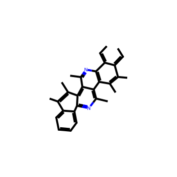 C/C=c1/c(C)c(C)c2c(nc(C)c3c4c(C)c(C)c5ccccc5c4nc(C)c23)/c1=C/C